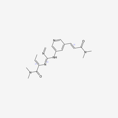 C=N/C(=N\C(=C/C)C(=O)N(C)C)Nc1cncc(/C=C/C(=O)N(C)C)c1